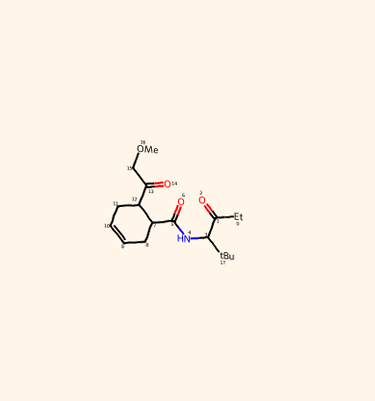 CCC(=O)C(NC(=O)C1CC=CCC1C(=O)COC)C(C)(C)C